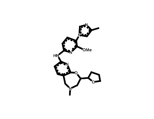 COc1nc(Nc2ccc3c(n2)OC(C2CCCO2)CN(C)C3)ccc1-n1cnc(C)c1